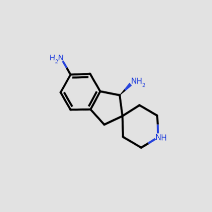 Nc1ccc2c(c1)[C@@H](N)C1(CCNCC1)C2